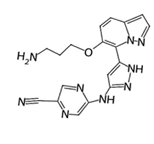 N#Cc1cnc(Nc2cc(-c3c(OCCCN)ccc4ccnn34)[nH]n2)cn1